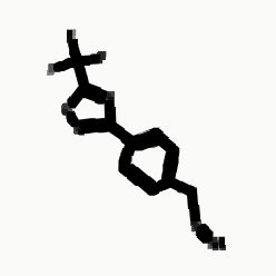 N=NCc1ccc(-c2noc(C(F)(F)F)n2)cc1